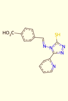 O=C(O)c1ccc(/C=N/n2c(S)nnc2-c2ccccn2)cc1